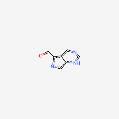 O=Cc1ncc2[nH]cncc1-2